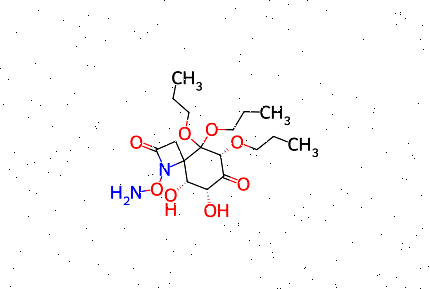 CCCO[C@@H]1C(=O)[C@H](O)[C@H](O)C2(CC(=O)N2ON)C1(OCCC)OCCC